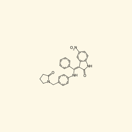 O=C1Nc2ccc([N+](=O)[O-])cc2C1=C(Nc1ccc(CN2CCCC2=O)cc1)c1ccccc1